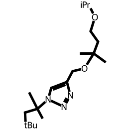 CC(C)OCCC(C)(C)OCc1cn(C(C)(C)CC(C)(C)C)nn1